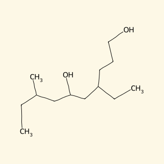 CCC(C)CC(O)CC(CC)CCCO